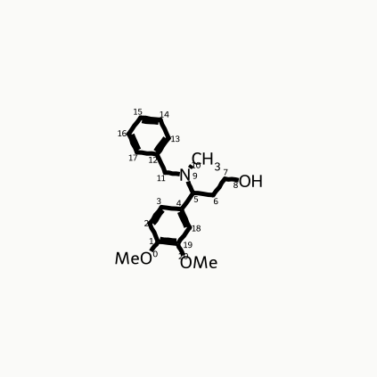 COc1ccc(C(CCO)N(C)Cc2ccccc2)cc1OC